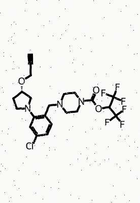 C#CCO[C@H]1CCN(c2cc(Cl)ccc2CN2CCN(C(=O)OC(C(F)(F)F)C(F)(F)F)CC2)C1